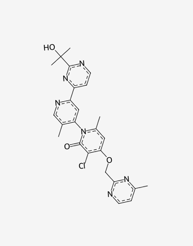 Cc1ccnc(COc2cc(C)n(-c3cc(-c4ccnc(C(C)(C)O)n4)ncc3C)c(=O)c2Cl)n1